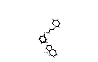 c1cc(OCCCN2CCCCC2)cc([C@H]2C[C@@H]3CCCCN3C2)c1